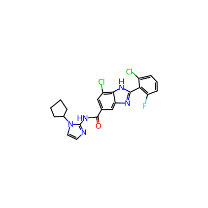 O=C(Nc1nccn1C1CCCC1)c1cc(Cl)c2[nH]c(-c3c(F)cccc3Cl)nc2c1